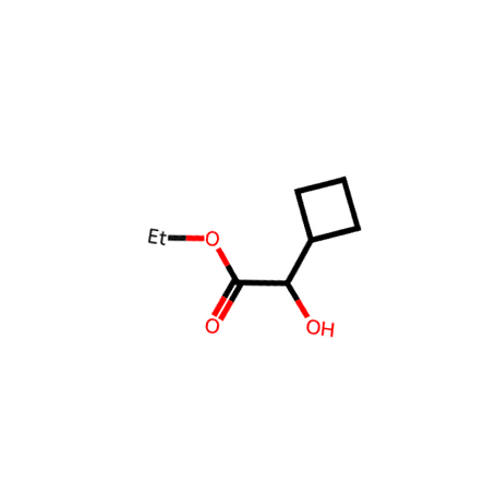 CCOC(=O)C(O)C1CCC1